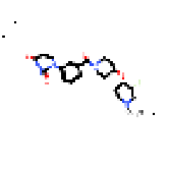 O=C1CCN(c2cccc(C(=O)N3CCC(O[C@@H]4CCN(C(=O)O)C[C@H]4F)CC3)c2)C(=O)N1